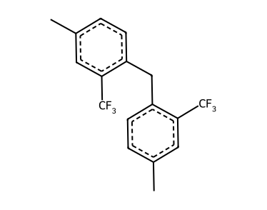 Cc1ccc(Cc2ccc(C)cc2C(F)(F)F)c(C(F)(F)F)c1